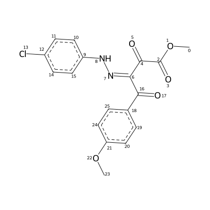 COC(=O)C(=O)C(=NNc1ccc(Cl)cc1)C(=O)c1ccc(OC)cc1